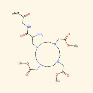 COC(=O)CNC(=O)C(N)CN1CCN(CC(=O)OC(C)(C)C)CCN(CC(=O)OC(C)(C)C)CCN(CC(=O)OC(C)(C)C)CC1